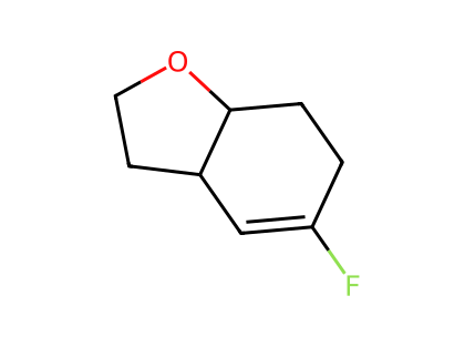 FC1=CC2CCOC2CC1